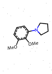 COc1cccc(N2CCCC2)c1OC